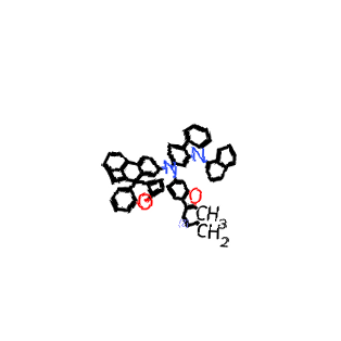 C=C/C=C\c1c(C)oc2cc(N(c3ccc4c(c3)C3(c5ccccc5Oc5ccccc53)c3cccc5cccc-4c35)c3ccc4c5ccccc5n(-c5cccc6ccccc56)c4c3)ccc12